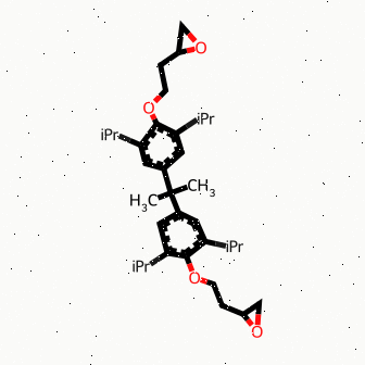 CC(C)c1cc(C(C)(C)c2cc(C(C)C)c(OCCC3CO3)c(C(C)C)c2)cc(C(C)C)c1OCCC1CO1